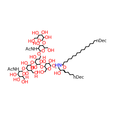 CCCCCCCCCCCCC/C=C/[C@@H](O)[C@H](CO[C@@H]1OC(CO)[C@@H](O[C@@H]2OC(CO[C@@H]3OC(CO)[C@@H](O[C@@H]4OC(CO)[C@H](O)[C@H](O)C4O)[C@H](O)C3NC(C)=O)[C@H](O)[C@H](O[C@H]3OC(CO)[C@H](O)[C@H](O[C@@H]4OC(CO)[C@H](O)[C@H](O)C4NC(C)=O)C3O)C2O)[C@H](O)C1O)NC(=O)CCCCCCCCCCCCCCCCCCCCCCCCC